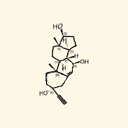 C#C[C@@]1(O)CC[C@@]2(C)C(=C[C@H](O)[C@H]3[C@@H]4CC[C@H](O)[C@@]4(C)CC[C@@H]32)C1